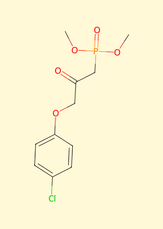 COP(=O)(CC(=O)COc1ccc(Cl)cc1)OC